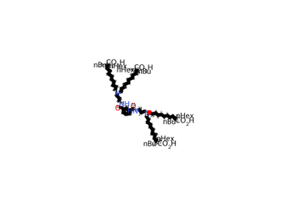 CCCCCCC(CCCC)(CCCCCCCCCN(CCCCCCCCCC(CCCC)(CCCCCC)C(=O)O)CCCNC(=O)c1cccc(C(=O)NCCCN(CCCCCCCCCC(CCCC)(CCCCCC)C(=O)O)CCCCCCCCCC(CCCC)(CCCCCC)C(=O)O)c1)C(=O)O